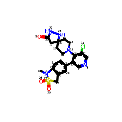 CN1c2ccc(-c3cncc(Cl)c3N3CCC4(CC3)CC(=O)NN4)cc2CS1(=O)=O